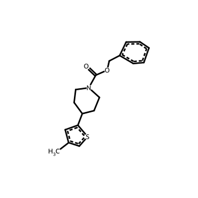 Cc1csc(C2CCN(C(=O)OCc3ccccc3)CC2)c1